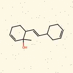 CC1(O)C=CCCC1C=CC1CC=CCC1